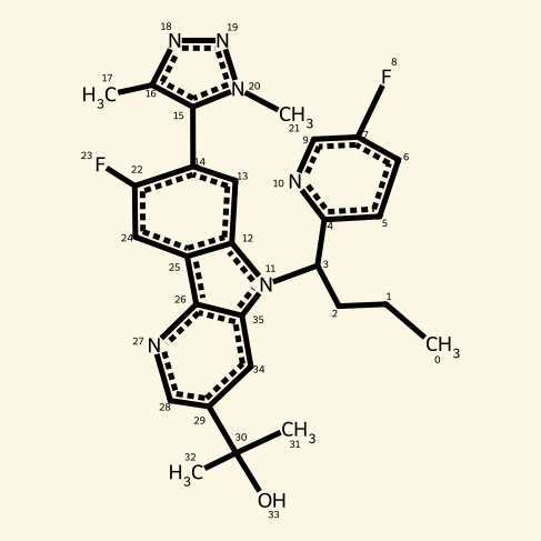 CCCC(c1ccc(F)cn1)n1c2cc(-c3c(C)nnn3C)c(F)cc2c2ncc(C(C)(C)O)cc21